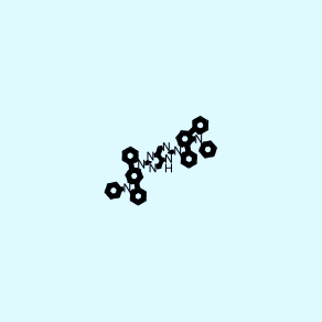 C1=NC(n2c3ccccc3c3cc4c(cc32)c2ccccc2n4-c2ccccc2)=NC2=CN=C(n3c4ccccc4c4c3ccc3c5ccccc5n(-c5ccccc5)c34)NC12